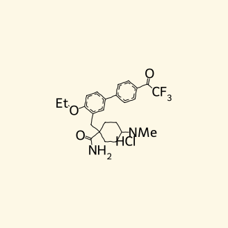 CCOc1ccc(-c2ccc(C(=O)C(F)(F)F)cc2)cc1CC1(C(N)=O)CCC(NC)CC1.Cl